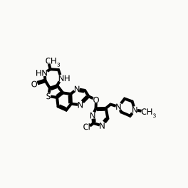 CC1CNc2c(sc3ccc4nc(Oc5nc(Cl)ncc5CN5CCN(C)CC5)cnc4c23)C(=O)N1